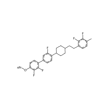 CCCOc1ccc(-c2ccc(C3CCC(CCc4ccc(C)c(F)c4F)CC3)c(F)c2)c(F)c1F